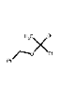 CCC(C)([O])OCC(C)C